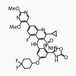 COc1ncc(-c2cc(F)c3c(Nc4cc(OC5CCC(F)(F)CC5)cc(-c5noc(=O)[nH]5)c4)c(S(N)(=O)=O)c(C4CC4)nc3c2)c(OC)n1